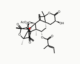 C=C1[C@]2(C[C@H](OC(=O)/C(C)=C/C)[C@@]3(C)[C@]45C(=C)[C@@]6(C)OC(=O)[C@@]4(O[C@@]13[C@H]6OC(C)=O)[C@H](C)OC5=O)C[C@H](O)C(=O)OC2(C)C